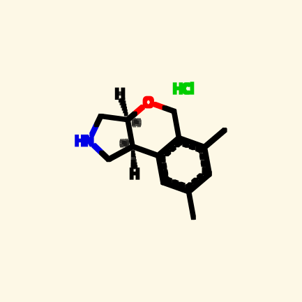 Cc1cc(C)c2c(c1)[C@H]1CNC[C@H]1OC2.Cl